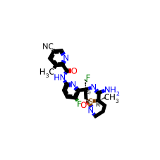 Cc1cc(C#N)cnc1C(=O)Nc1ccc(F)c([C@]2(CF)C[S@]3(=O)=NCCC[C@]3(C)C(N)=N2)n1